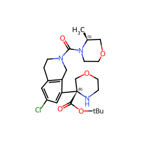 C[C@H]1COCCN1C(=O)N1CCc2cc(Cl)cc([C@]3(C(=O)OC(C)(C)C)COCCN3)c2C1